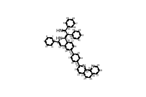 N=C(/C(=C1\NC(c2ccccc2)=Cc2cc(-c3ccc(-c4ccc5ccc6cccnc6c5n4)cc3)ccc21)c1ccccc1)c1ccccc1